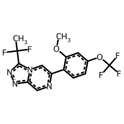 COc1cc(OC(F)(F)F)ccc1-c1cn2c(C(C)(F)F)nnc2cn1